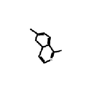 CC1=CC=C2C(C)=NC=CC2C1